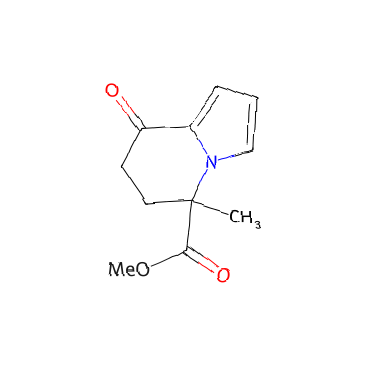 COC(=O)C1(C)CCC(=O)c2cccn21